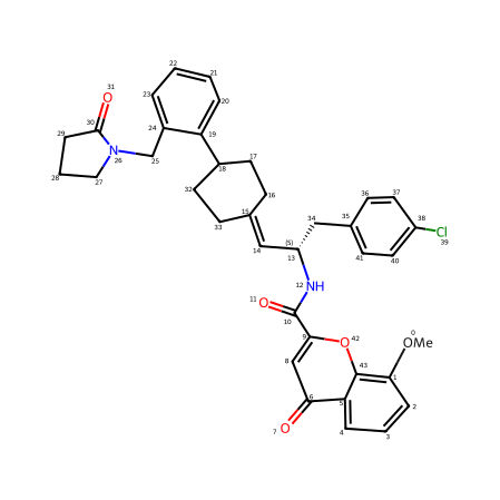 COc1cccc2c(=O)cc(C(=O)N[C@H](C=C3CCC(c4ccccc4CN4CCCC4=O)CC3)Cc3ccc(Cl)cc3)oc12